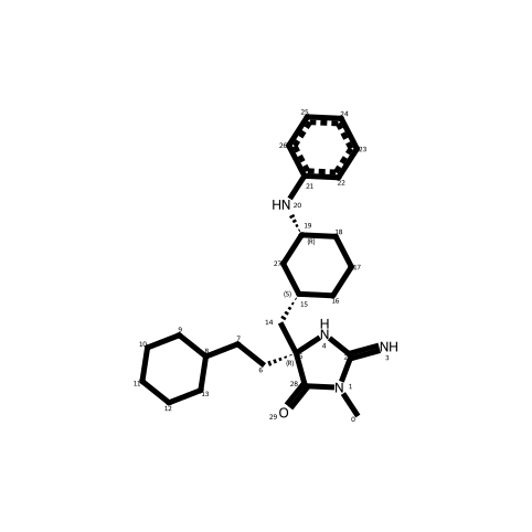 CN1C(=N)N[C@](CCC2CCCCC2)(C[C@H]2CCC[C@@H](Nc3ccccc3)C2)C1=O